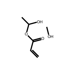 C=CC(=O)OC(C)O.CO